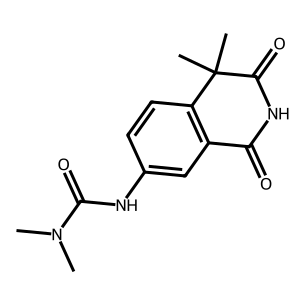 CN(C)C(=O)Nc1ccc2c(c1)C(=O)NC(=O)C2(C)C